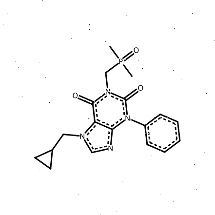 CP(C)(=O)Cn1c(=O)c2c(ncn2CC2CC2)n(-c2ccccc2)c1=O